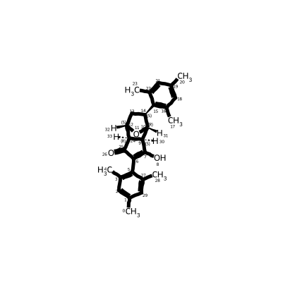 Cc1cc(C)c(C2=C(O)[C@@H]3[C@@H]4O[C@@H](C[C@H]4c4c(C)cc(C)cc4C)[C@@H]3C2=O)c(C)c1